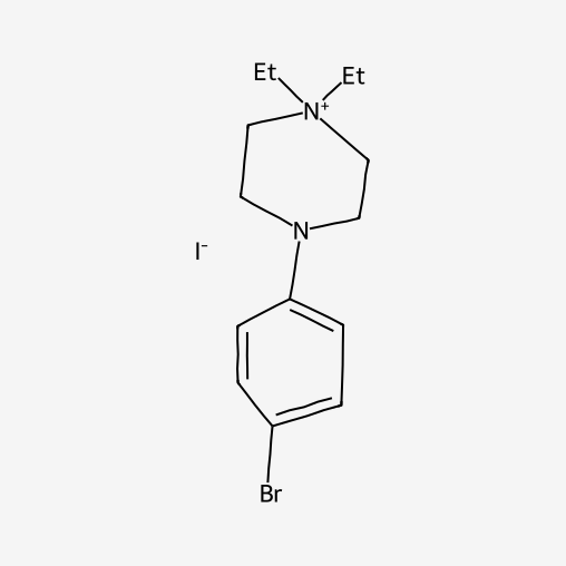 CC[N+]1(CC)CCN(c2ccc(Br)cc2)CC1.[I-]